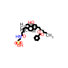 CCCC[C@H](CC1C[C@H]2CC[C@]3(C)[C@@H]([C@H](C)CCC(=O)NCCS(=O)(=O)O)CC[C@H]3[C@@H]2[C@@H](O)C1)OC(=O)c1ccccc1